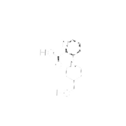 O=C(O)c1ncccc1N1CCC(CO)CC1